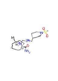 CS(=O)(=O)N1CCC(CNCCN2[C@@H]3C[CH]C[C@@]2(C(N)=O)CC3)C1